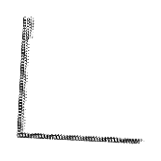 [Co+2].[Co+2].[Co+2].[Co+2].[Co+2].[Co+2].[Co+2].[Co+2].[Co+2].[Co+2].[Co+2].[Co+2].[Co+2].[Co+2].[Co+2].[O-2].[O-2].[O-2].[O-2].[O-2].[O-2].[O-2].[O-2].[O-2].[O-2].[O-2].[O-2].[O-2].[O-2].[O-2].[O-2].[O-2].[O-2].[O-2].[O-2].[O-2].[O-2].[O-2].[O-2].[O-2].[O-2].[O-2].[O-2].[O-2].[O-2].[O-2].[O-2].[O-2].[O-2].[O-2].[O-2].[O-2].[O-2].[O-2].[O-2].[O-2].[O-2].[O-2].[O-2].[O-2].[O-2].[O-2].[O-2].[O-2].[O-2].[O-2].[O-2].[O-2].[O-2].[O-2].[O-2].[O-2].[O-2].[O-2].[O-2].[O-2].[O-2].[O-2].[O-2].[O-2].[O-2].[O-2].[O-2].[O-2].[O-2]